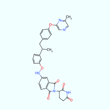 Cc1cncc(Oc2ccc(CC(C)c3cccc(ONc4ccc5c(c4)C(=O)N(C4CCC(=O)NC4=O)C5=O)c3)cc2)n1